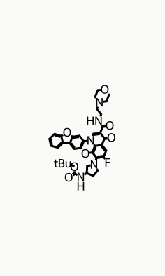 CC(C)(C)OC(=O)NC1CCN(c2c(F)cc3c(=O)c(C(=O)NCCN4CCOCC4)cn4c3c2Oc2cc3c(cc2-4)oc2ccccc23)C1